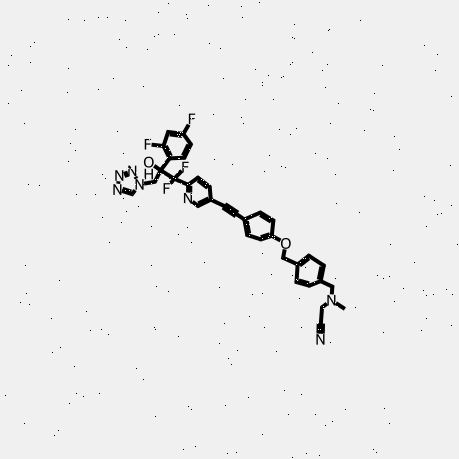 CN(CC#N)Cc1ccc(COc2ccc(C#Cc3ccc(C(F)(F)C(O)(Cn4cnnn4)c4ccc(F)cc4F)nc3)cc2)cc1